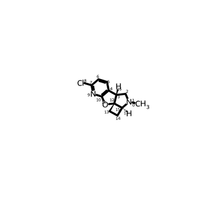 CN1C[C@H]2c3ccc(Cl)nc3O[C@]23CC[C@H]13